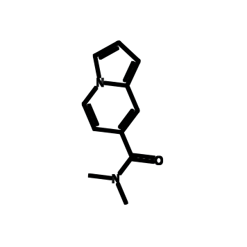 CN(C)C(=O)c1ccn2cccc2c1